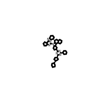 c1ccc(-c2ccc(-c3nc(-c4ccccc4)nc(-c4ccc5c(c4)c4c6ccccc6ccc4n5-c4nc5ccccc5c5nc6ccccc6n45)n3)cc2)cc1